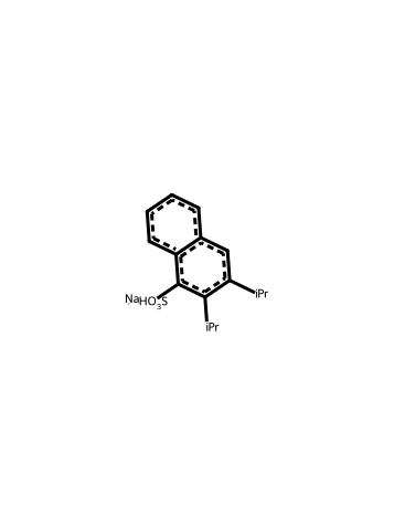 CC(C)c1cc2ccccc2c(S(=O)(=O)O)c1C(C)C.[Na]